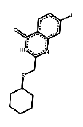 O=c1[nH]c(CSC2CCCCC2)nc2cc(F)ccc12